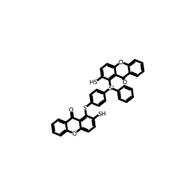 O=c1c2ccccc2oc2ccc(S)c(Sc3ccc([S+](c4ccccc4)c4c(S)ccc5oc6ccccc6c(=O)c45)cc3)c12